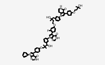 CC(C)(O)CCOc1ccc(-c2cn(-c3cccc(CC(C)(O)CCOc4ccc(-c5cn(-c6cccc(C(O)C(C)(C)COc7ccc(-c8cn(-c9ccccc9)c9nc[nH]c(=O)c89)cc7)c6)c6nc[nH]c(=O)c56)c(F)c4)c3)c3cc[nH]c(=O)c23)cc1